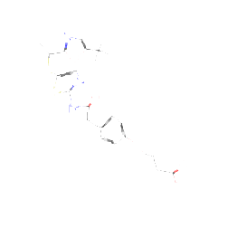 CC(Sc1cnc(NC(=O)Cc2ccc(OCCCC(=O)O)cc2)s1)c1ncc(C(C)(C)C)o1